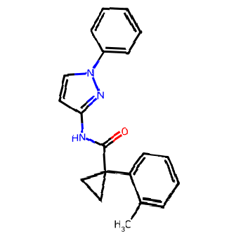 Cc1ccccc1C1(C(=O)Nc2ccn(-c3ccccc3)n2)CC1